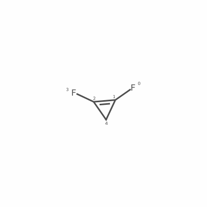 FC1=C(F)C1